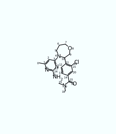 Cc1cc(N2CCCOCC2c2ccc(C(=O)N(C)C)cc2Cl)nc(N)n1